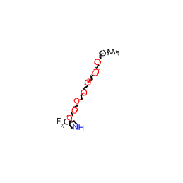 COCCOCCOCCOCCOCCOCCOCCOC1(C(F)(F)F)CCNCC1